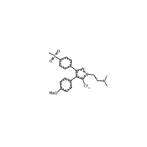 COc1ccc(-c2c(-c3ccc(S(C)(=O)=O)cc3)nn(CCN(C)C)c2C(F)(F)F)cc1